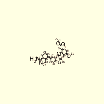 CCOC(=O)Cc1ccc(OC)cc1OC1c2cc(-c3cccc4c(N)nccc34)ccc2CC1(C)C